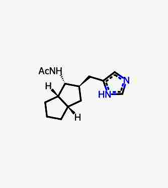 CC(=O)N[C@@H]1[C@@H](Cc2cnc[nH]2)C[C@@H]2CCC[C@@H]21